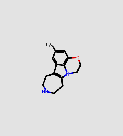 FC(F)(F)c1cc2c3c(c1)c1c(n3CCO2)CCNCC1